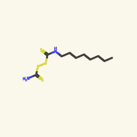 CCCCCCCCNC(=S)SSC(N)=S